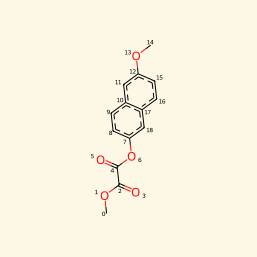 COC(=O)C(=O)Oc1ccc2cc(OC)ccc2c1